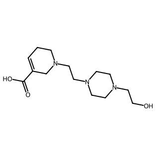 O=C(O)C1=CCCN(CCN2CCN(CCO)CC2)C1